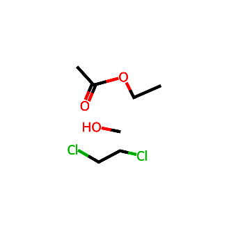 CCOC(C)=O.CO.ClCCCl